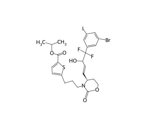 CC(C)OC(=O)c1ccc(CCCN2C(=O)OCC[C@@H]2C=CC(O)C(F)(F)c2cc(Br)cc(I)c2)s1